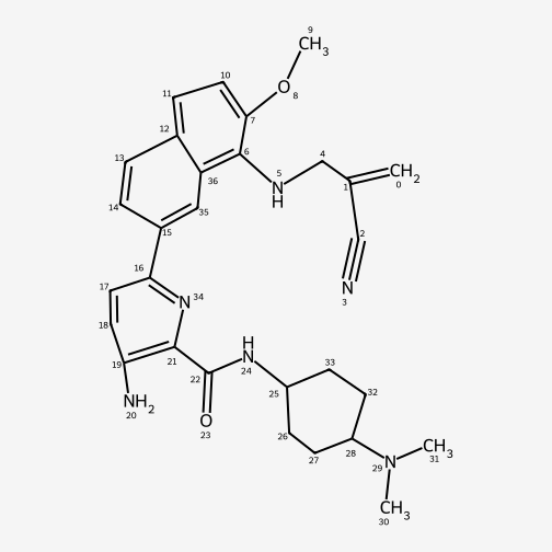 C=C(C#N)CNc1c(OC)ccc2ccc(-c3ccc(N)c(C(=O)NC4CCC(N(C)C)CC4)n3)cc12